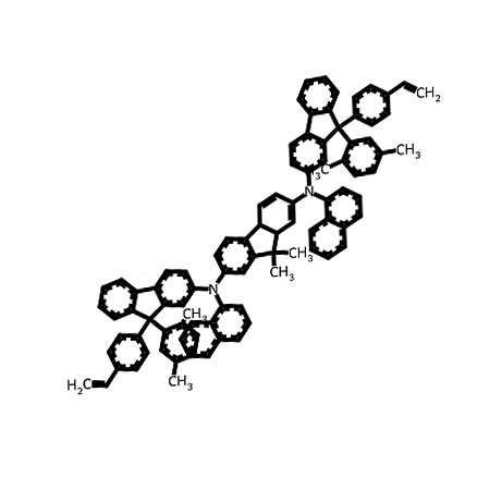 C=Cc1ccc(C2(c3cc(C)ccc3C)c3ccccc3-c3ccc(N(C4=CC5C(C=C4)c4ccc(N(c6ccc7c(c6)C(c6ccc(C=C)cc6)(c6cc(C)ccc6C)c6ccccc6-7)c6cccc7ccccc67)cc4C5(C)C)c4cccc5ccccc45)cc32)cc1